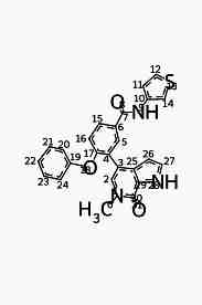 Cn1cc(-c2cc(C(=O)Nc3ccsc3)ccc2Oc2ccccc2)c2cc[nH]c2c1=O